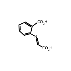 O=C(O)C=Nc1ccccc1C(=O)O